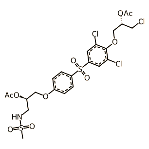 CC(=O)O[C@H](CNS(C)(=O)=O)COc1ccc(S(=O)(=O)c2cc(Cl)c(OC[C@@H](CCl)OC(C)=O)c(Cl)c2)cc1